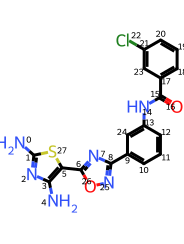 Nc1nc(N)c(-c2nc(-c3cccc(NC(=O)c4cccc(Cl)c4)c3)no2)s1